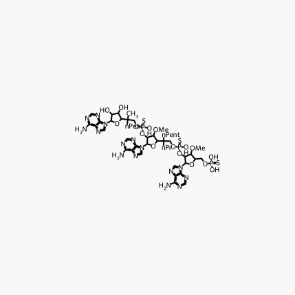 CCCCCC(C)(COP(O)(=S)OC1C(OC)C(C(CCC)(CCCCC)COP(O)(=S)OC2C(OC)C(COP(O)(O)=S)OC2n2cnc3c(N)ncnc32)OC1n1cnc2c(N)ncnc21)C1OC(n2cnc3c(N)ncnc32)C(O)C1O